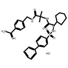 CC(C)(NC(=O)[C@H](NS(=O)(=O)c1ccc(-c2ccccc2)cc1)C1CCCCC1)C(=O)NCc1ccc(C(=N)N)cc1.Cl